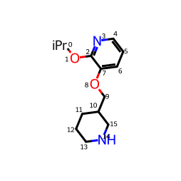 CC(C)Oc1ncccc1OCC1CCCNC1